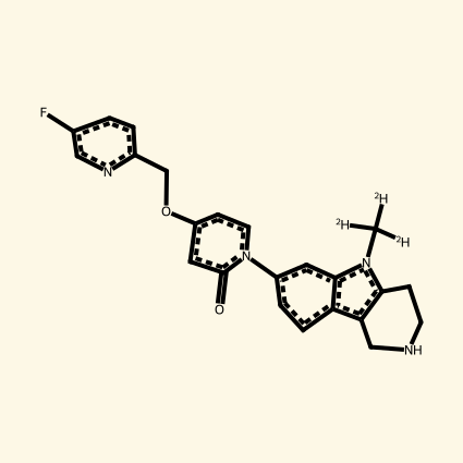 [2H]C([2H])([2H])n1c2c(c3ccc(-n4ccc(OCc5ccc(F)cn5)cc4=O)cc31)CNCC2